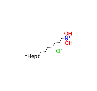 CCCCCCCCCCCCCC[N+](C)(O)O.[Cl-]